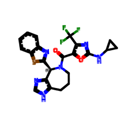 O=C(c1oc(NC2CC2)nc1C(F)(F)F)N1CCCc2[nH]cnc2[C@H]1c1nc2ccccc2s1